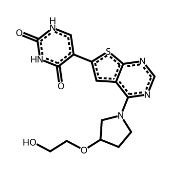 O=c1[nH]cc(-c2cc3c(N4CCC(OCCO)C4)ncnc3s2)c(=O)[nH]1